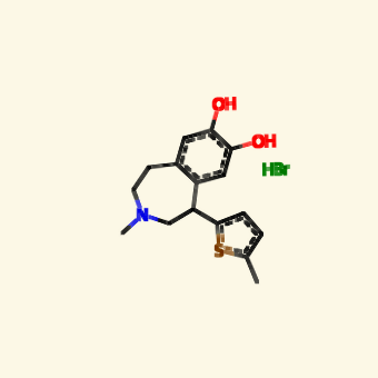 Br.Cc1ccc(C2CN(C)CCc3cc(O)c(O)cc32)s1